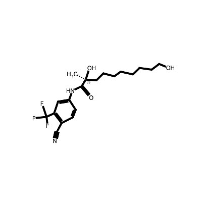 C[C@](O)(CCCCCCCCO)C(=O)Nc1ccc(C#N)c(C(F)(F)F)c1